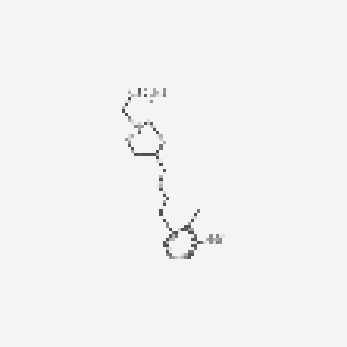 CCOC(=O)CN1CCC(CCCCc2cccc(Br)c2C)CC1